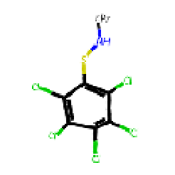 CCCNSc1c(Cl)c(Cl)c(Cl)c(Cl)c1Cl